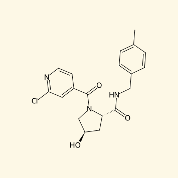 Cc1ccc(CNC(=O)[C@@H]2C[C@@H](O)CN2C(=O)c2ccnc(Cl)c2)cc1